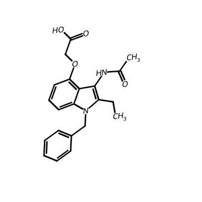 CCc1c(NC(C)=O)c2c(OCC(=O)O)cccc2n1Cc1ccccc1